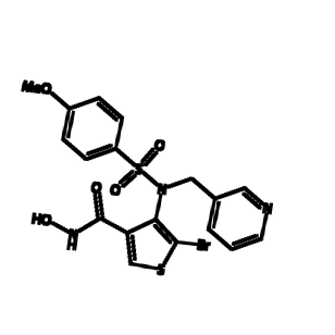 COc1ccc(S(=O)(=O)N(Cc2cccnc2)c2c(C(=O)NO)csc2Br)cc1